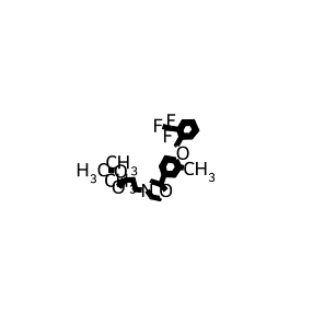 Cc1cc(C2CN(CCC(=O)OC(C)(C)C)CCO2)ccc1OCc1ccccc1C(F)(F)F